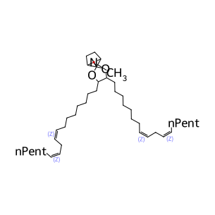 CCCCC/C=C\C/C=C\CCCCCCCC1OC2(OC1CCCCCCC/C=C\C/C=C\CCCCC)C1CCC2N(C)C1